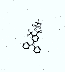 O=C(OS(=O)(=O)C(F)(F)F)c1ccc([S+](c2ccccc2)c2ccccc2)cc1C(F)(F)F